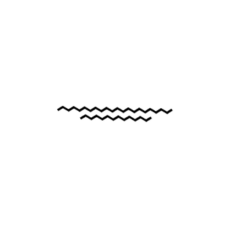 CCCCCCCCCCCCCC.CCCCCCCCCCCCCCCCCCCCCC